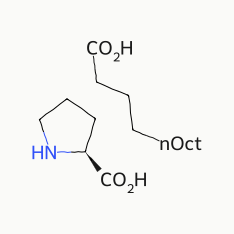 CCCCCCCCCCCC(=O)O.O=C(O)[C@@H]1CCCN1